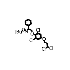 CC(C)(C)ON=C(COc1c(Cl)cc(OCC=C(Cl)Cl)cc1Cl)c1ccccc1